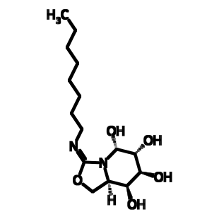 CCCCCCCC/N=C1/OC[C@@H]2[C@H](O)[C@H](O)[C@@H](O)[C@@H](O)N12